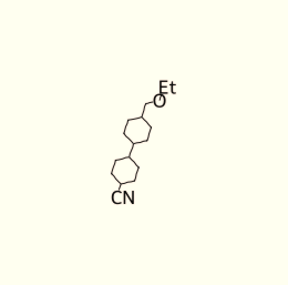 CCOCC1CCC(C2CCC(C#N)CC2)CC1